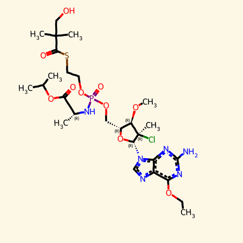 CCOc1nc(N)nc2c1ncn2[C@@H]1O[C@H](COP(=O)(N[C@H](C)C(=O)OC(C)C)OCCSC(=O)C(C)(C)CO)[C@@H](OC)[C@@]1(C)Cl